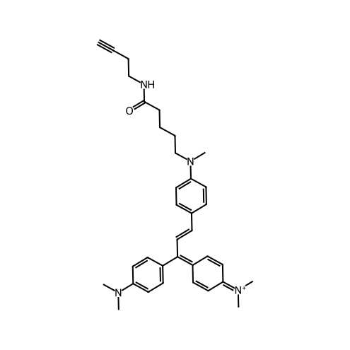 C#CCCNC(=O)CCCCN(C)c1ccc(/C=C/C(=C2C=CC(=[N+](C)C)C=C2)c2ccc(N(C)C)cc2)cc1